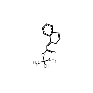 CC(C)(C)OC(=O)C=C1CC=Cc2ccccc21